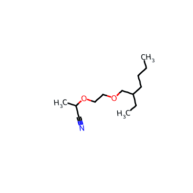 CCCCC(CC)COCCOC(C)C#N